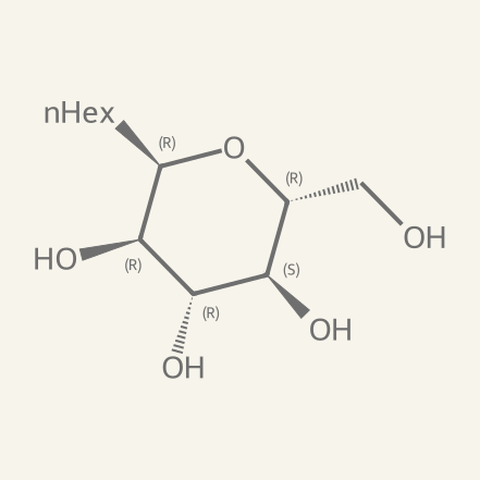 CCCCCC[C@H]1O[C@H](CO)[C@@H](O)[C@H](O)[C@H]1O